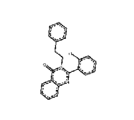 O=c1c2ccccc2nc(-c2ccccc2Cl)n1CCc1ccccc1